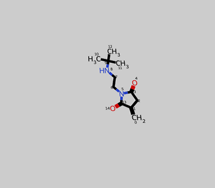 C=C1CC(=O)N(CCNC(C)(C)C)C1=O